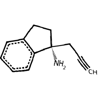 C#CC[C@]1(N)CCc2ccccc21